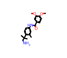 COc1ccc(C(=O)Nc2ccc(C(C)(C)CN)c(C)c2)cc1OC